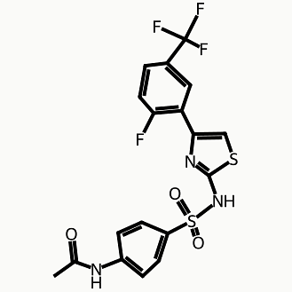 CC(=O)Nc1ccc(S(=O)(=O)Nc2nc(-c3cc(C(F)(F)F)ccc3F)cs2)cc1